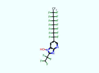 On1c(C(F)(F)C(F)F)nc2ncc(C(F)(F)C(F)(F)C(F)(F)C(F)(F)C(F)(F)C(F)(F)C(F)(F)C(F)(F)F)cc21